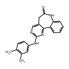 Cc1ccc(Nc2ncc3c(n2)-c2ccccc2NC(=O)C3)cc1C